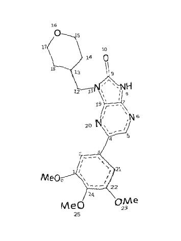 COc1cc(-c2cnc3[nH]c(=O)n(CC4CCOCC4)c3n2)cc(OC)c1OC